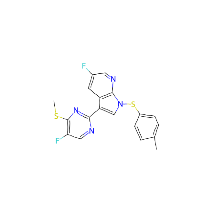 CSc1nc(-c2cn(Sc3ccc(C)cc3)c3ncc(F)cc23)ncc1F